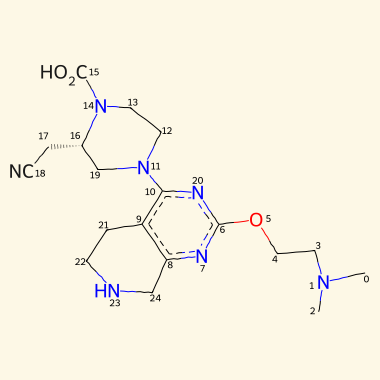 CN(C)CCOc1nc2c(c(N3CCN(C(=O)O)[C@@H](CC#N)C3)n1)CCNC2